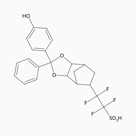 O=S(=O)(O)C(F)(F)C(F)(F)C1CC2CC1C1OC(c3ccccc3)(c3ccc(O)cc3)OC21